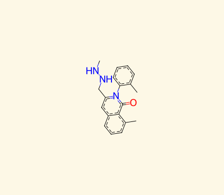 CNNCc1cc2cccc(C)c2c(=O)n1-c1ccccc1C